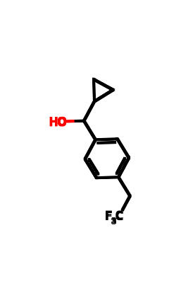 OC(c1ccc(CC(F)(F)F)cc1)C1CC1